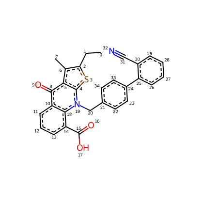 CCc1sc2c(c1C)c(=O)c1cccc(C(=O)O)c1n2Cc1ccc(-c2ccccc2C#N)cc1